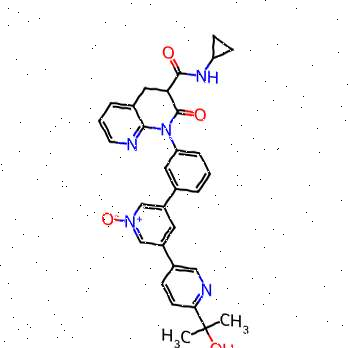 CC(C)(O)c1ccc(-c2cc(-c3cccc(N4C(=O)C(C(=O)NC5CC5)Cc5cccnc54)c3)c[n+]([O-])c2)cn1